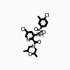 Cc1cc(S(=O)(=O)Nc2cc(Cl)cnc2C(=O)N2CC(C)OC(C)C2)ccc1Cl